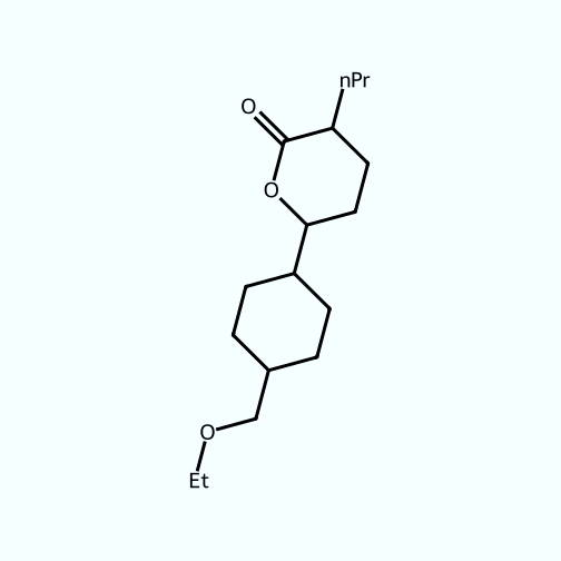 CCCC1CCC(C2CCC(COCC)CC2)OC1=O